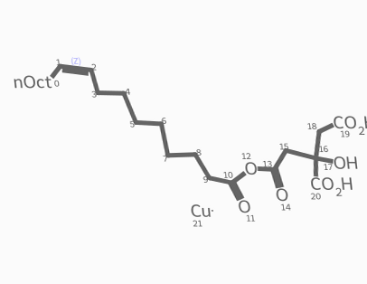 CCCCCCCC/C=C\CCCCCCCC(=O)OC(=O)CC(O)(CC(=O)O)C(=O)O.[Cu]